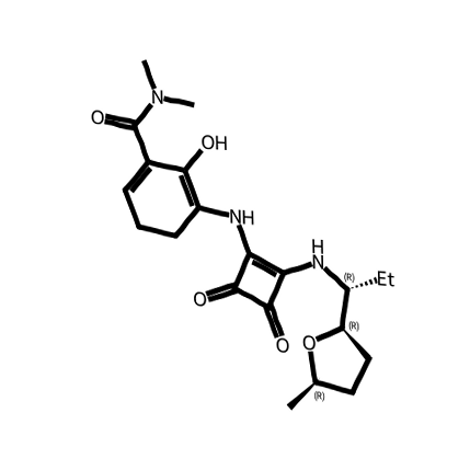 CC[C@@H](Nc1c(NC2=C(O)C(C(=O)N(C)C)=CCC2)c(=O)c1=O)[C@H]1CC[C@@H](C)O1